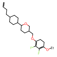 C=CCCC1CCC(C2CCC(COC3=C(F)C(F)=C(OCC)CC3)CO2)CC1